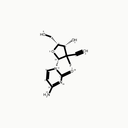 C#CC1(F)[C@@H](O)[C@@H](CO)O[C@H]1n1ccc(N)nc1=O